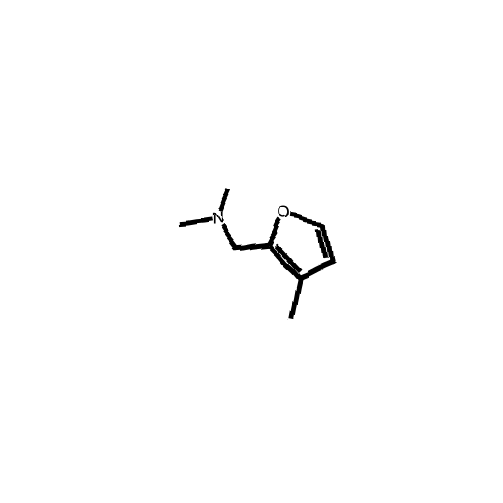 Cc1ccoc1CN(C)C